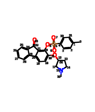 Cc1ccc(S(=O)(=O)Oc2c(O[C@H]3CCN(C)C3)ccc3c2C(=O)c2ccccc2-3)cc1